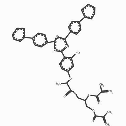 C=C(C)C(=O)OCC(COC(=O)C(C)Oc1ccc(-c2nc(-c3ccc(-c4ccccc4)cc3)nc(-c3ccc(-c4ccccc4)cc3)n2)c(N=O)c1)OC(=O)C(=C)C